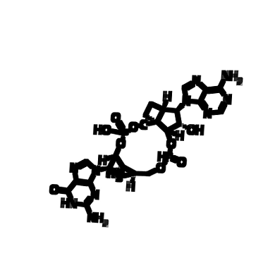 Nc1nc2c(ncn2[C@@H]2S[C@@H]3CO[PH](=O)O[C@H]4[C@@H](O)[C@H](n5cnc6c(N)ncnc65)[C@H]5CC[C@]54COP(=O)(O)O[C@@H]2[C@@H]3O)c(=O)[nH]1